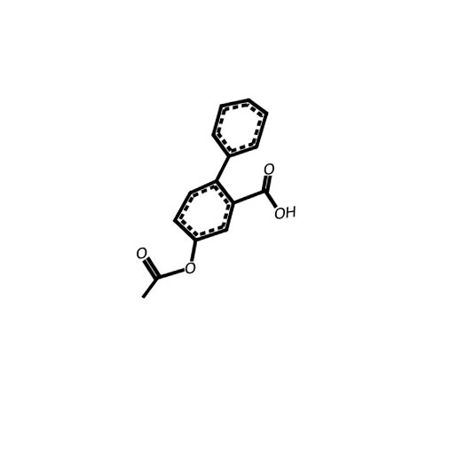 CC(=O)Oc1ccc(-c2ccccc2)c(C(=O)O)c1